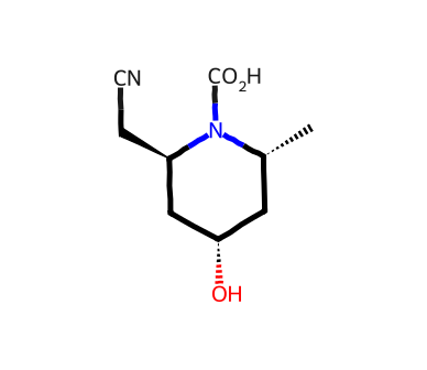 C[C@@H]1C[C@H](O)C[C@@H](CC#N)N1C(=O)O